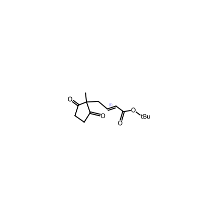 CC(C)(C)OC(=O)/C=C/CC1(C)C(=O)CCC1=O